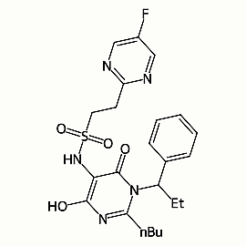 CCCCc1nc(O)c(NS(=O)(=O)CCc2ncc(F)cn2)c(=O)n1C(CC)c1ccccc1